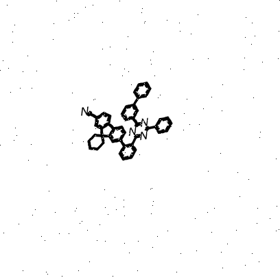 N#Cc1ccc2c(c1)C1(CCCCC1)c1cc(-c3ccccc3-c3nc(-c4ccccc4)nc(-c4cccc(-c5ccccc5)c4)n3)ccc1-2